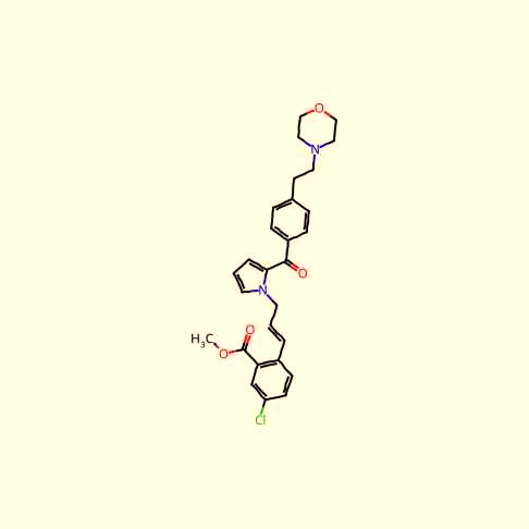 COC(=O)c1cc(Cl)ccc1C=CCn1cccc1C(=O)c1ccc(CCN2CCOCC2)cc1